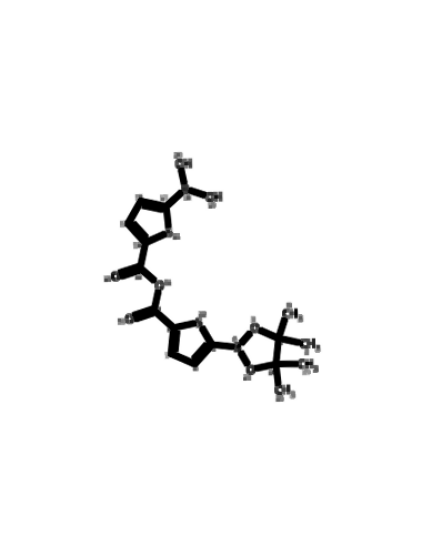 CC1(C)OB(c2ccc(C(=O)OC(=O)c3ccc(B(O)O)s3)s2)OC1(C)C